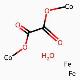 O.O=C([O][Co])C(=O)[O][Co].[Fe].[Fe]